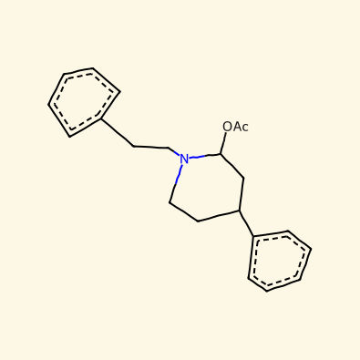 CC(=O)OC1CC(c2ccccc2)CCN1CCc1ccccc1